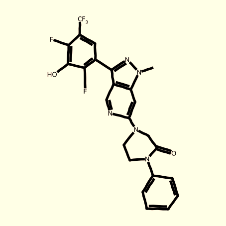 Cn1nc(-c2cc(C(F)(F)F)c(F)c(O)c2F)c2cnc(N3CCN(c4ccccc4)C(=O)C3)cc21